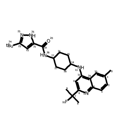 Cc1ccc2nc(C(C)(C)F)cc(NC3CCC(NC(=O)c4cc(C(C)(C)C)n[nH]4)CC3)c2c1